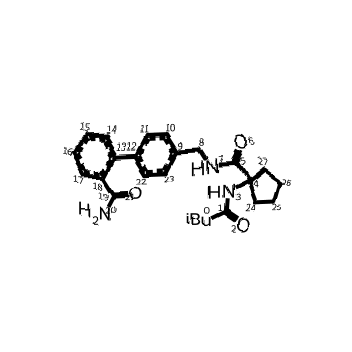 CCC(C)C(=O)NC1(C(=O)NCc2ccc(-c3ccccc3C(N)=O)cc2)CCCC1